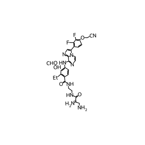 CCc1cc(Nc2nccn3c(-c4ccc(OCC#N)c(F)c4F)cnc23)ccc1C(=O)NCCNC(=O)[C@@H](N)CN.O=CO